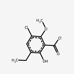 CCc1cc(Cl)c(OC)c(C(=O)Cl)c1O